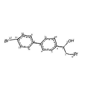 CC(C)CC(O)c1ccc(-c2ccc(Br)cc2)cc1